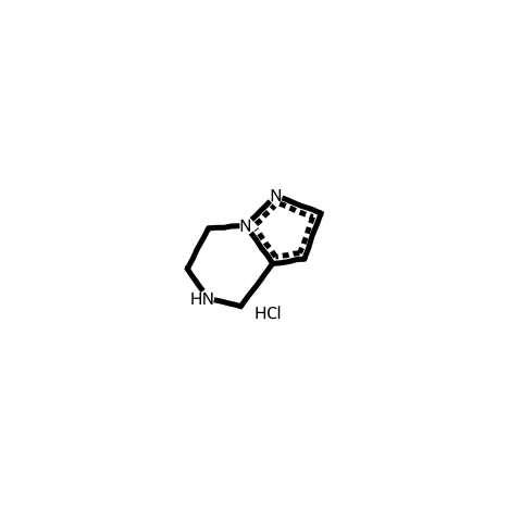 Cl.c1cc2n(n1)CCNC2